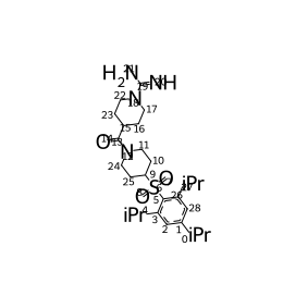 CC(C)c1cc(C(C)C)c(S(=O)(=O)C2CCN(C(=O)C3CCN(C(=N)N)CC3)CC2)c(C(C)C)c1